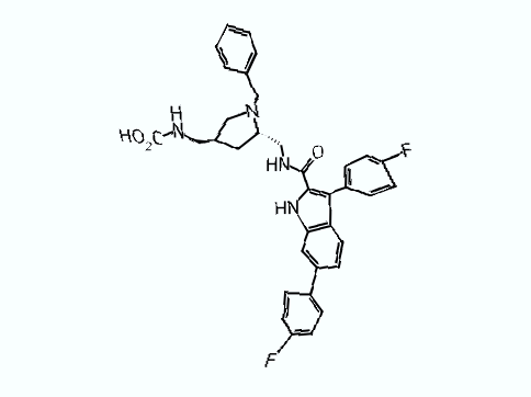 O=C(O)NC[C@@H]1C[C@@H](CNC(=O)c2[nH]c3cc(-c4ccc(F)cc4)ccc3c2-c2ccc(F)cc2)N(Cc2ccccc2)C1